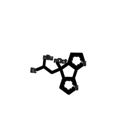 CCCCCCCCC1(CC(CC)CCCC)c2ccsc2-c2sccc21